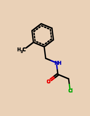 Cc1ccccc1CNC(=O)CCl